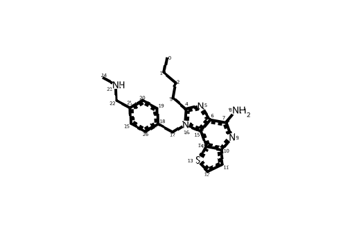 CCCCc1nc2c(N)nc3ccsc3c2n1Cc1ccc(CNC)cc1